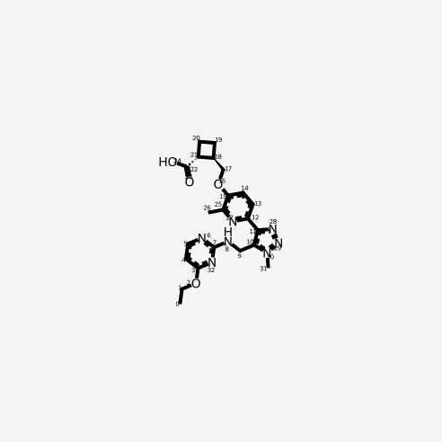 CCOc1ccnc(NCc2c(-c3ccc(OC[C@@H]4CC[C@H]4C(=O)O)c(C)n3)nnn2C)n1